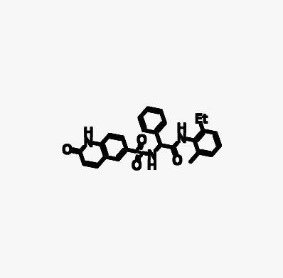 CCc1cccc(C)c1NC(=O)C(NS(=O)(=O)c1ccc2[nH]c(=O)ccc2c1)c1ccccc1